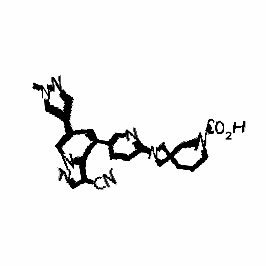 Cn1cc(-c2cc(-c3ccc(N4CC5(CCCN(C(=O)O)C5)C4)nc3)c3c(C#N)cnn3c2)cn1